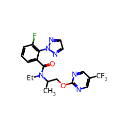 CCN(C(=O)c1cccc(F)c1-n1nccn1)C(C)COc1ncc(C(F)(F)F)cn1